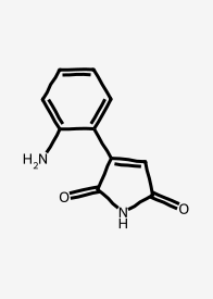 Nc1ccccc1C1=CC(=O)NC1=O